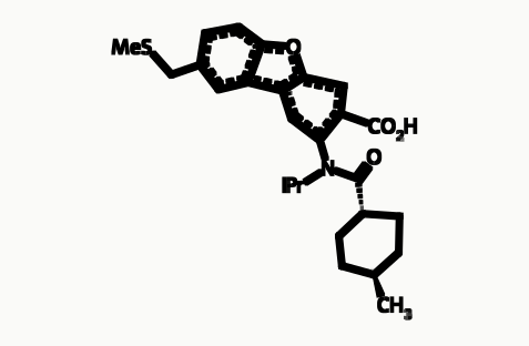 CSCc1ccc2oc3cc(C(=O)O)c(N(C(=O)[C@H]4CC[C@H](C)CC4)C(C)C)cc3c2c1